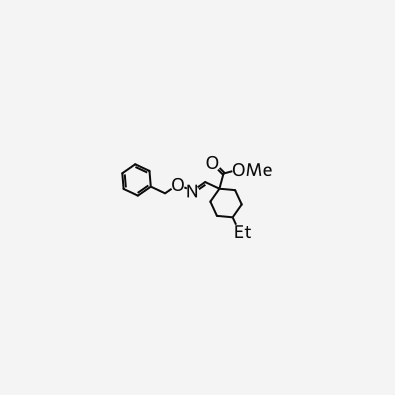 CCC1CCC(C=NOCc2ccccc2)(C(=O)OC)CC1